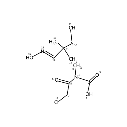 CN(C(=O)O)C(=O)CCl.CSC(C)(C)C=NO